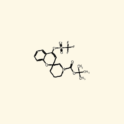 CC(C)(C)OC(=O)N1CCCC2(C=C(OS(=O)(=O)C(F)(F)F)c3ccccc3O2)C1